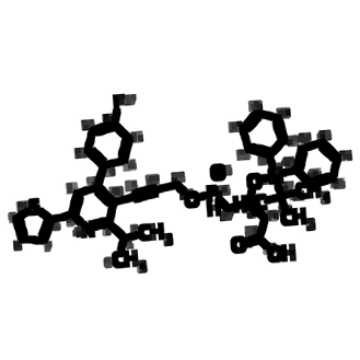 CC(C)c1nc(-c2cccs2)cc(-c2ccc(F)cc2)c1C#CCO[PH](=O)C[C@H](CC(=O)O)O[Si](c1ccccc1)(c1ccccc1)C(C)(C)C